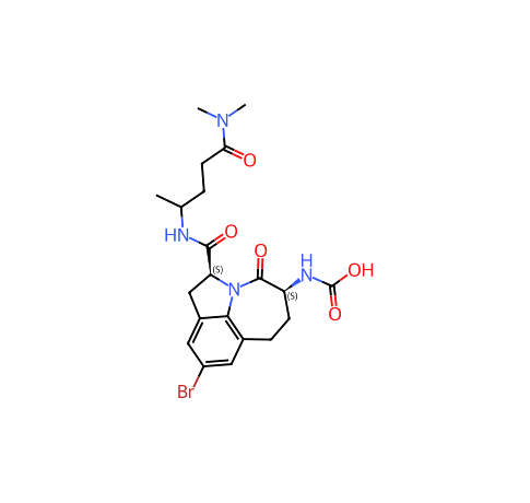 CC(CCC(=O)N(C)C)NC(=O)[C@@H]1Cc2cc(Br)cc3c2N1C(=O)[C@@H](NC(=O)O)CC3